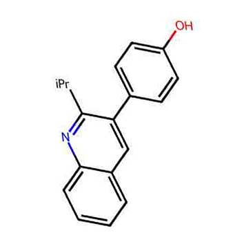 CC(C)c1nc2ccccc2cc1-c1ccc(O)cc1